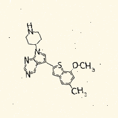 COc1cc(C)cc2cc(-c3cn(C4CCNCC4)c4ncncc34)sc12